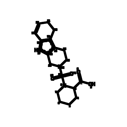 O=C(O)C1CCCCN1S(=O)(=O)N1CCc2c([nH]c3c2CCC=C3)C1